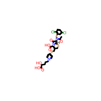 CC(=O)N(Sc1cc(Cl)ccc1Cl)[C@H]1C(=O)N2C(C(=O)O)=C(CSc3cc[n+](CCC[C@H](O)C(=O)O)cc3)CS[C@H]12